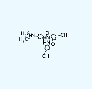 C#Cc1ccc(NC(=O)c2cc(C#C)ccc2NC(=O)c2ccc(C=NN(C)CC)cc2F)cc1